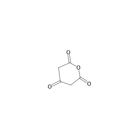 O=C1CC(=O)OC(=O)C1